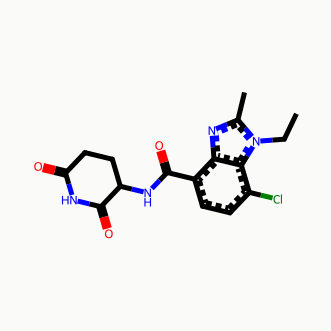 CCn1c(C)nc2c(C(=O)NC3CCC(=O)NC3=O)ccc(Cl)c21